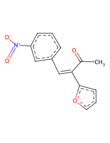 CC(=O)/C(=C\c1cccc([N+](=O)[O-])c1)c1ccco1